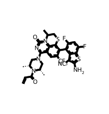 C=CC(=O)N1[C@H](C)CN(c2nc(=O)n3c4c(c(-c5c(F)cc(F)c6sc(N)c(C#N)c56)c(C(F)(F)F)cc24)SCC3C)C[C@@H]1C